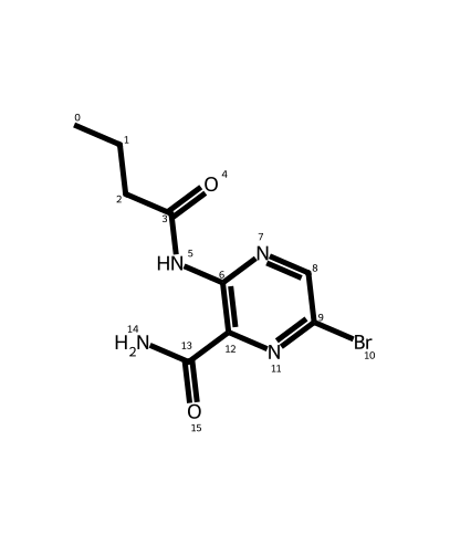 CCCC(=O)Nc1ncc(Br)nc1C(N)=O